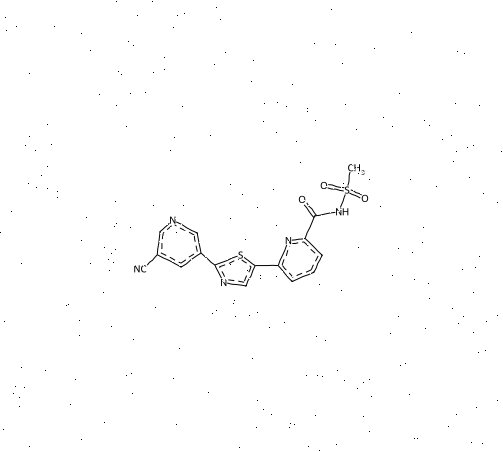 CS(=O)(=O)NC(=O)c1cccc(-c2cnc(-c3cncc(C#N)c3)s2)n1